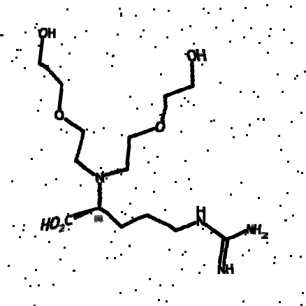 N=C(N)NCCC[C@@H](C(=O)O)N(CCOCCO)CCOCCO